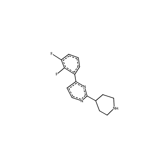 Fc1cccc(-c2ccnc(C3CCNCC3)n2)c1F